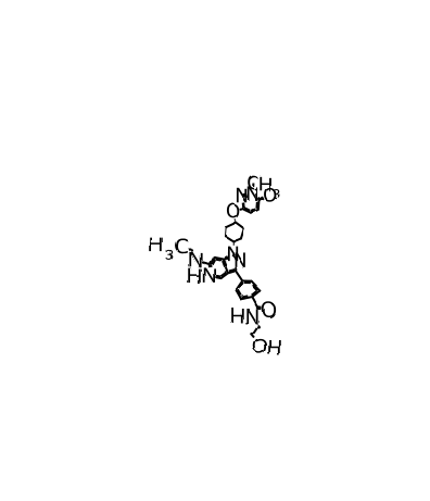 CCNc1cc2c(cn1)c(-c1ccc(C(=O)NCCO)cc1)nn2[C@H]1CC[C@@H](Oc2ccc(=O)n(C)n2)CC1